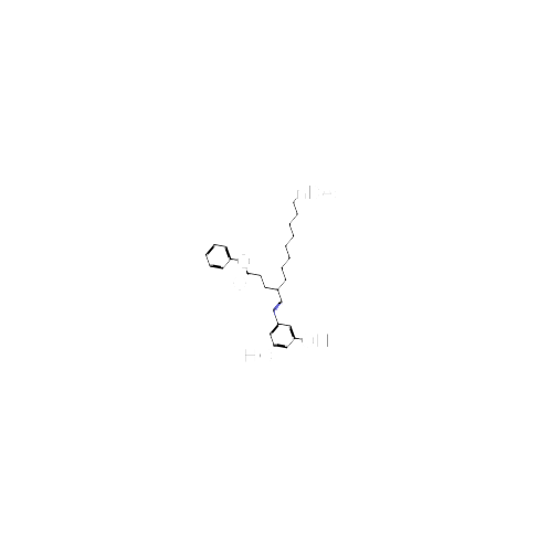 CCCCCCCCCCCCCCCCCCC(/C=C/c1cc(O)cc(O)c1)CCC(=O)Oc1ccccc1